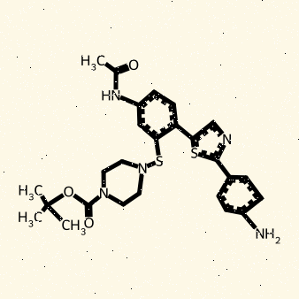 CC(=O)Nc1ccc(-c2cnc(-c3ccc(N)cc3)s2)c(SN2CCN(C(=O)OC(C)(C)C)CC2)c1